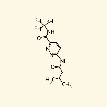 [2H]C([2H])([2H])NC(=O)c1ccc(NC(=O)CC(C)C)nn1